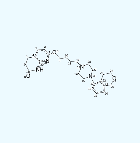 O=C1CCc2ccc(OCCCCN3CCN(c4cccc5c4CCOC5)CC3)nc2N1